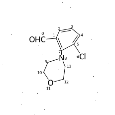 O=Cc1cccc(Cl)c1N1CCOCC1